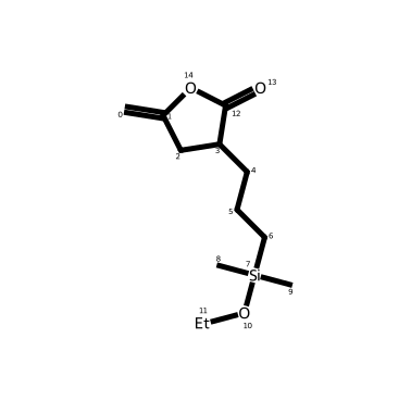 C=C1CC(CCC[Si](C)(C)OCC)C(=O)O1